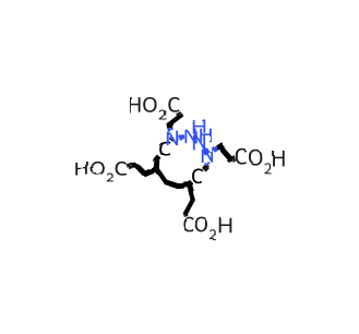 O=C(O)CCC1CCC(CCC(=O)O)CCN(CCC(=O)O)NNN(CCC(=O)O)CC1